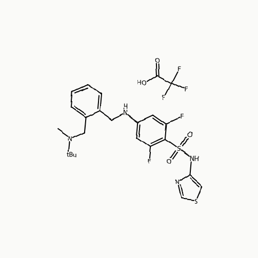 CN(Cc1ccccc1CNc1cc(F)c(S(=O)(=O)Nc2cscn2)c(F)c1)C(C)(C)C.O=C(O)C(F)(F)F